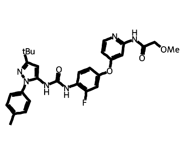 COCC(=O)Nc1cc(Oc2ccc(NC(=O)Nc3cc(C(C)(C)C)nn3-c3ccc(C)cc3)c(F)c2)ccn1